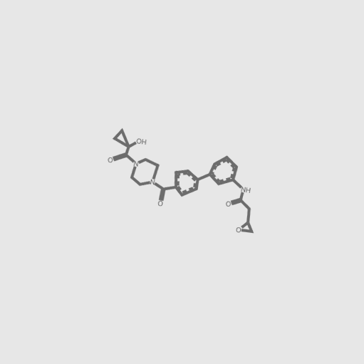 O=C(CC1CO1)Nc1cccc(-c2ccc(C(=O)N3CCN(C(=O)C4(O)CC4)CC3)cc2)c1